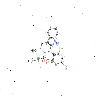 C[C@@H]1Cc2c([nH]c3ccccc23)[C@@H](c2c(F)cc(Br)cc2F)N1C(O)C(C)(F)F